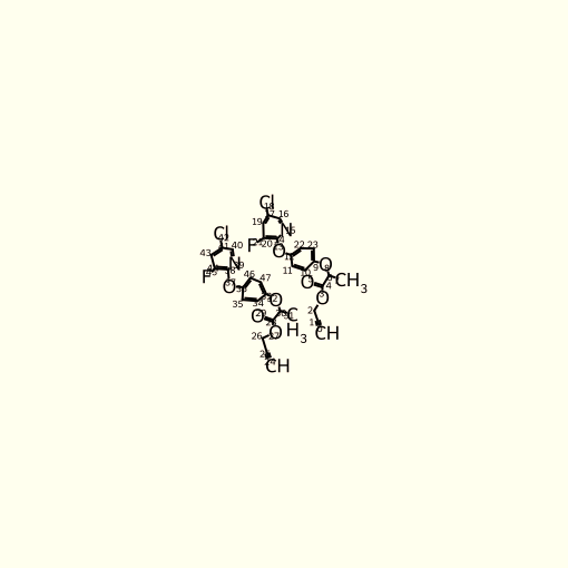 C#CCOC(=O)C(C)Oc1ccc(Oc2ncc(Cl)cc2F)cc1.C#CCOC(=O)C(C)Oc1ccc(Oc2ncc(Cl)cc2F)cc1